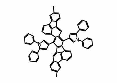 Cc1ccc2cc3c4c(-c5cc(-c6ccccc6)n(-c6ccccc6)c5)c5c(cc6c7ccc(C)cc7c7cccc5c76)c(-c5cc(-c6ccccc6)n(-c6ccccc6)c5)c4c4cccc(c2c1)c43